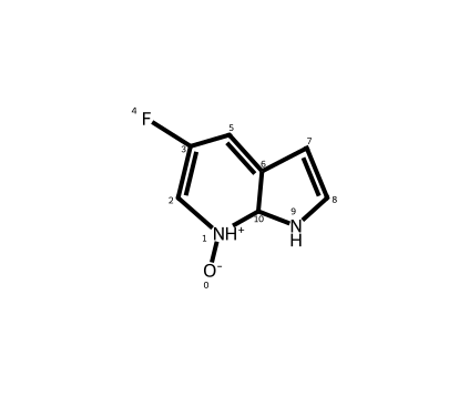 [O-][NH+]1C=C(F)C=C2C=CNC21